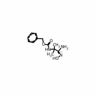 CC(C)(NC(=O)OCc1ccccc1)/C(N)=N\O